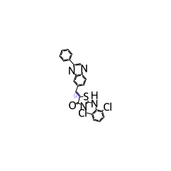 O=C1N=C(Nc2c(Cl)cccc2Cl)S/C1=C\c1ccc2ncc(-c3ccccc3)nc2c1